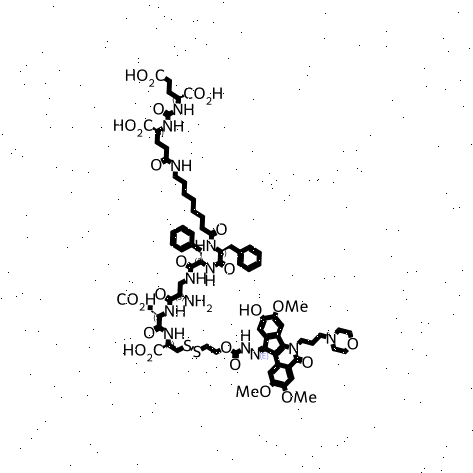 COc1cc2c(cc1O)/C(=N\NC(=O)OCCSSC[C@H](NC(=O)[C@H](CC(=O)O)NC(=O)[C@@H](N)CNC(=O)[C@H](Cc1ccccc1)NC(=O)[C@H](Cc1ccccc1)NC(=O)CCCCCCCNC(=O)CC[C@H](NC(=O)N[C@@H](CCC(=O)O)C(=O)O)C(=O)O)C(=O)O)c1c-2n(CCCN2CCOCC2)c(=O)c2cc(OC)c(OC)cc12